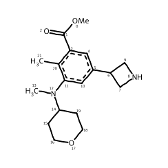 COC(=O)c1cc(C2CNC2)cc(N(C)C2CCOCC2)c1C